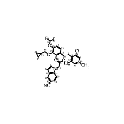 C[n+]1cc(Cl)c(C[C@H](OC(=O)Cn2ccc3cc(C#N)ccc32)c2ccc(OC(F)F)c(OCC3CC3)c2)c(Cl)c1